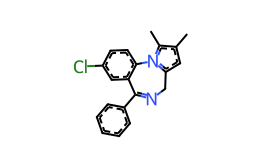 Cc1cc2n(c1C)-c1ccc(Cl)cc1C(c1ccccc1)=NC2